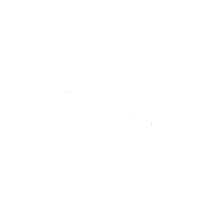 OC(C#C[C@@H](O)C1CCCCC1)C1CCCCC1